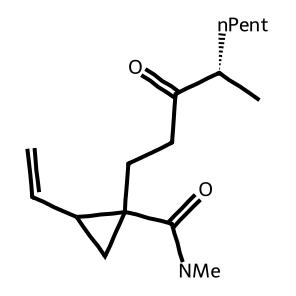 C=CC1CC1(CCC(=O)[C@@H](C)CCCCC)C(=O)NC